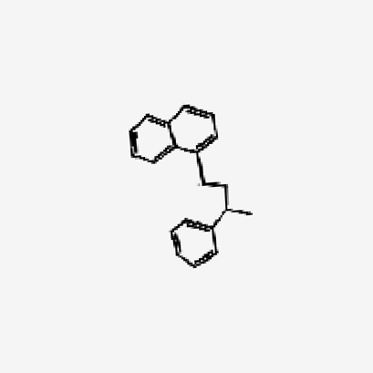 CC(C[CH]c1cccc2ccccc12)c1ccccc1